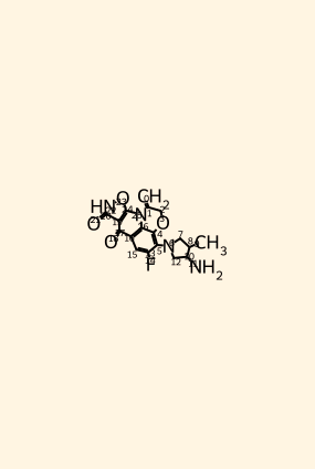 C=C1COc2c(N3CC(C)C(N)C3)c(F)cc3c(=O)c4c(=O)[nH]oc4n1c23